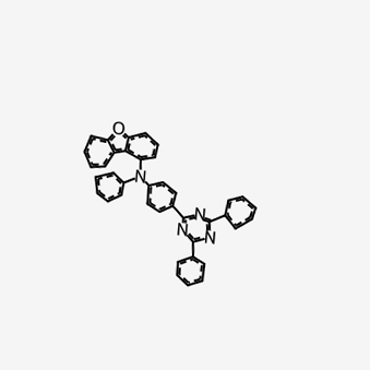 c1ccc(-c2nc(-c3ccccc3)nc(-c3ccc(N(c4ccccc4)c4cccc5oc6ccccc6c45)cc3)n2)cc1